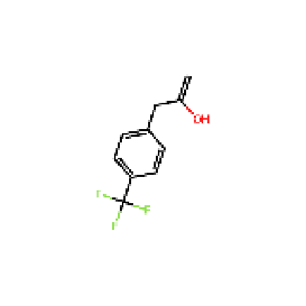 C=C(O)Cc1ccc(C(F)(F)F)cc1